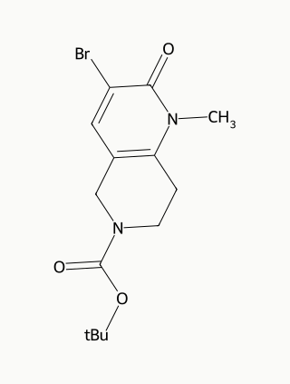 Cn1c2c(cc(Br)c1=O)CN(C(=O)OC(C)(C)C)CC2